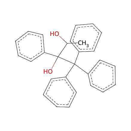 CC(O)C(O)(c1ccccc1)C(c1ccccc1)(c1ccccc1)c1ccccc1